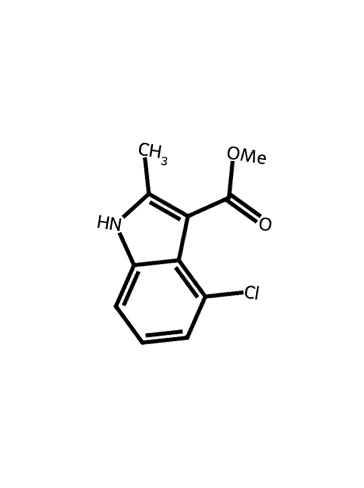 COC(=O)c1c(C)[nH]c2cccc(Cl)c12